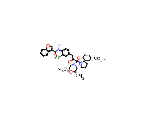 C[C@@H]1CN(C(O[C@H]2CC[C@H](C(=O)O)CC2)(C(=O)Cc2ccc(NC(=O)c3coc4ccccc34)c(Cl)c2)N2CCCC2)C[C@H](C)O1